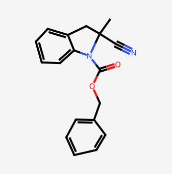 CC1(C#N)Cc2ccccc2N1C(=O)OCc1ccccc1